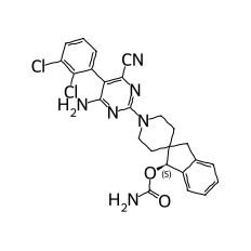 N#Cc1nc(N2CCC3(CC2)Cc2ccccc2[C@H]3OC(N)=O)nc(N)c1-c1cccc(Cl)c1Cl